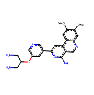 COc1cc2ncc3c(N)nc(-c4cncc(OC(CN)CN)c4)cc3c2cc1OC